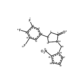 O=C1CC(c2cc(F)c(F)c(F)c2)CN1Cn1ccnc1[N+](=O)[O-]